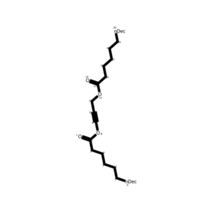 CCCCCCCCCCCCCCCC(=O)OC#CCOC(=O)CCCCCCCCCCCCCCC